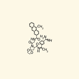 Cc1c2ccccc2cc2cc(C(=O)NCC(=O)N3CC4(CC3C(=O)N[C@H](C)c3cc(C(=N)N)cs3)OCCO4)ccc12